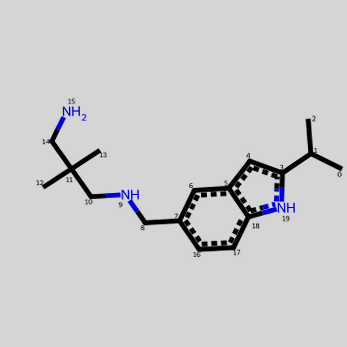 CC(C)c1cc2cc(CNCC(C)(C)CN)ccc2[nH]1